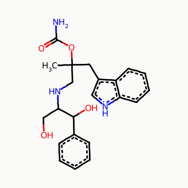 CC(CNC(CO)C(O)c1ccccc1)(Cc1c[nH]c2ccccc12)OC(N)=O